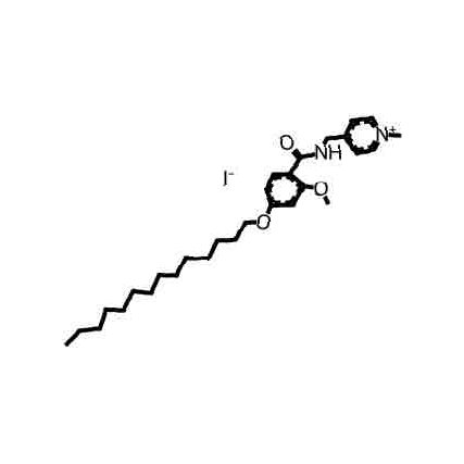 CCCCCCCCCCCCCCOc1ccc(C(=O)NCc2cc[n+](C)cc2)c(OC)c1.[I-]